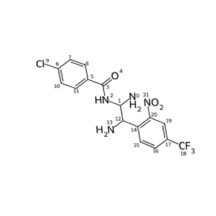 NC(NC(=O)c1ccc(Cl)cc1)C(N)c1ccc(C(F)(F)F)cc1[N+](=O)[O-]